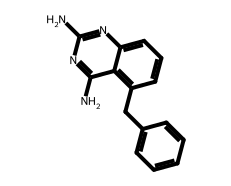 Nc1nc(N)c2c(Cc3ccccc3)cccc2n1